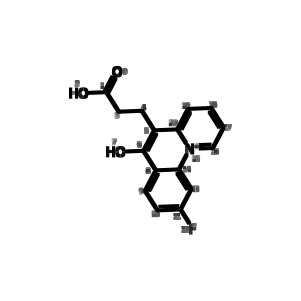 O=C(O)CCc1c(O)c2ccc(F)cc2[n+]2ccccc12